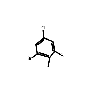 Cc1c(Br)cc(Cl)cc1Br